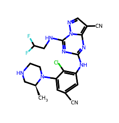 C[C@H]1CNCCN1c1cc(C#N)cc(Nc2nc(NCC(F)F)n3ncc(C#N)c3n2)c1Cl